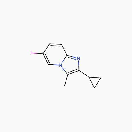 Cc1c(C2CC2)nc2ccc(I)cn12